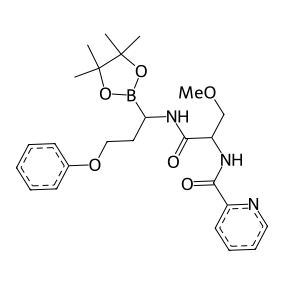 COCC(NC(=O)c1ccccn1)C(=O)NC(CCOc1ccccc1)B1OC(C)(C)C(C)(C)O1